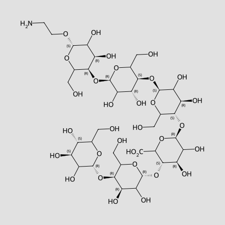 NCCO[C@H]1OC(CO)[C@H](O[C@H]2OC(CO)[C@@H](O[C@@H]3OC(CO)[C@@H](O[C@@H]4OC(C(=O)O)[C@@H](O[C@H]5OC(CO)[C@H](O[C@H]6OC(CO)[C@@H](O)[C@H](O)C6O)[C@H](O)C5O)[C@H](O)C4O)[C@H](O)C3O)[C@H](O)C2O)[C@H](O)C1O